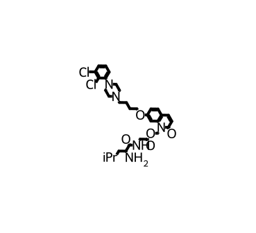 CC(C)CC(N)C(=O)NCC(=O)OCn1c(=O)ccc2ccc(OCCCCN3CCN(c4cccc(Cl)c4Cl)CC3)cc21